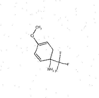 COC1=CCC(N)(C(F)(F)F)C=C1